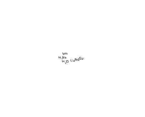 O.[BaH2].[Cu].[Eu].[Nd].[Sm]